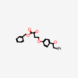 CC(C)CC(=O)c1ccc(OCCC(=O)C(=O)OCc2ccccc2)cc1